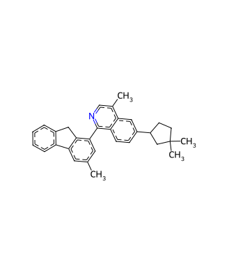 Cc1cc2c(c(-c3ncc(C)c4cc(C5CCC(C)(C)C5)ccc34)c1)Cc1ccccc1-2